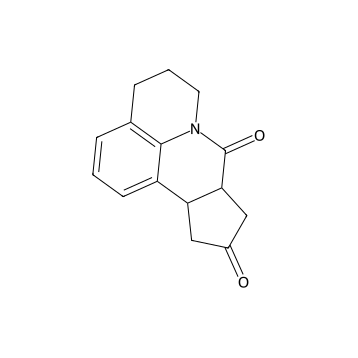 O=C1CC2C(=O)N3CCCc4cccc(c43)C2C1